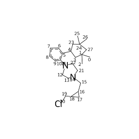 CC1(C)CC(c2ccccc2N2CCN(CC3CC3CCl)CC2)CC(C)(C)C1